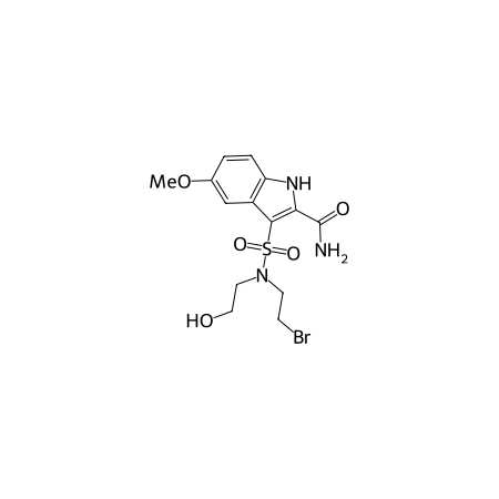 COc1ccc2[nH]c(C(N)=O)c(S(=O)(=O)N(CCO)CCBr)c2c1